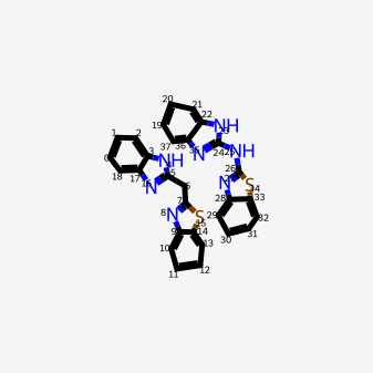 c1ccc2[nH]c(Cc3nc4ccccc4s3)nc2c1.c1ccc2[nH]c(Nc3nc4ccccc4s3)nc2c1